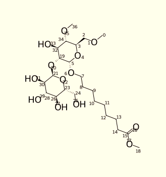 COC[C@H]1O[C@H](OCCCCCCCCC(=O)OC)[C@H](O[C@H]2O[C@H](CO)[C@@H](O)[C@H](O)[C@H]2O)[C@@H](O)[C@@H]1OC